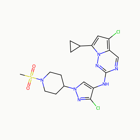 CS(=O)(=O)N1CCC(n2cc(Nc3ncc4c(Cl)cc(C5CC5)n4n3)c(Cl)n2)CC1